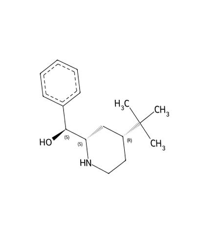 CC(C)(C)[C@@H]1CCN[C@H]([C@@H](O)c2ccccc2)C1